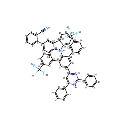 N#Cc1ccccc1-c1ccc2c(c1)c1ccccc1n2-c1c(-c2cccc(C(F)(F)F)c2)cc(-c2cc(-c3ccccc3)nc(-c3ccccc3)n2)cc1-c1cccc(C(F)(F)F)c1